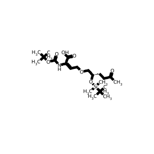 CC(=O)CC[C@@H](COC/C=C(/NC(=O)OC(C)(C)C)C(=O)O)O[Si](C)(C)C(C)(C)C